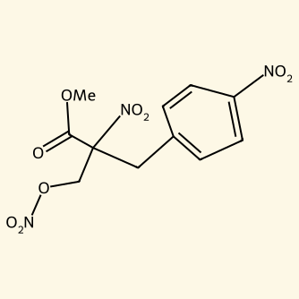 COC(=O)C(CO[N+](=O)[O-])(Cc1ccc([N+](=O)[O-])cc1)[N+](=O)[O-]